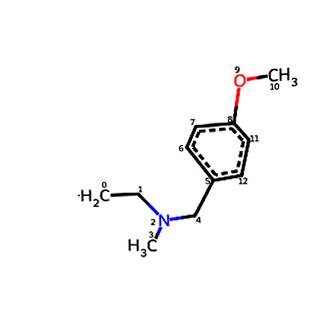 [CH2]CN(C)Cc1ccc(OC)cc1